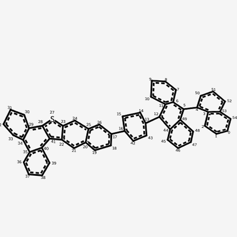 c1ccc2c(-c3c4ccccc4c(-c4ccc(-c5ccc6cc7c(cc6c5)sc5c6ccccc6c6ccccc6c75)cc4)c4ccccc34)cccc2c1